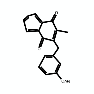 COc1cccc(CC2=C(C)C(=O)c3ccccc3C2=O)c1